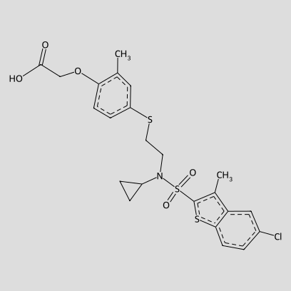 Cc1cc(SCCN(C2CC2)S(=O)(=O)c2sc3ccc(Cl)cc3c2C)ccc1OCC(=O)O